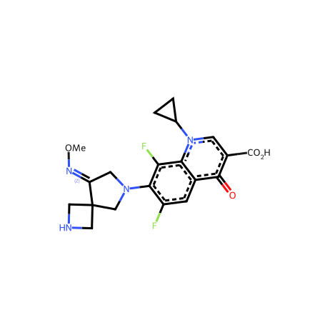 CO/N=C1\CN(c2c(F)cc3c(=O)c(C(=O)O)cn(C4CC4)c3c2F)CC12CNC2